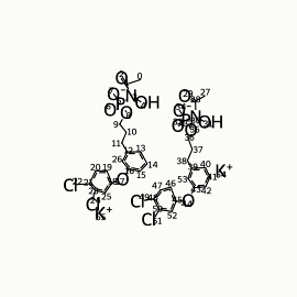 CC(=O)N(O)P(=O)([O-])OCCCc1cccc(Oc2ccc(Cl)c(Cl)c2)c1.CC(=O)N(O)P(=O)([O-])OCCCc1cccc(Oc2ccc(Cl)c(Cl)c2)c1.[K+].[K+]